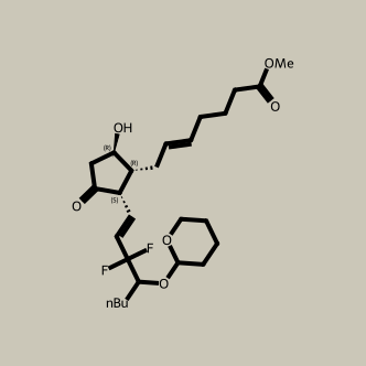 CCCCC(OC1CCCCO1)C(F)(F)C=C[C@@H]1C(=O)C[C@@H](O)[C@@H]1CC=CCCCC(=O)OC